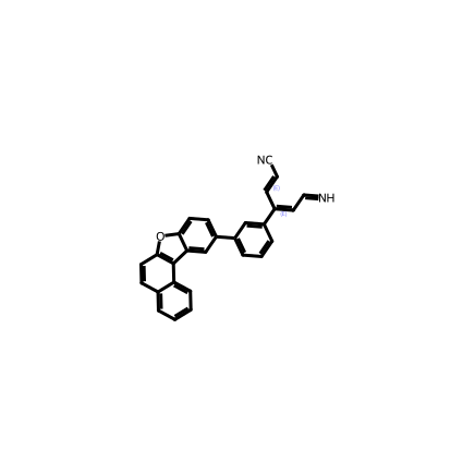 N#C/C=C/C(=C\C=N)c1cccc(-c2ccc3oc4ccc5ccccc5c4c3c2)c1